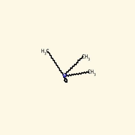 CCCCCCCCCCCCCCCCCCCC[N+](CCCCCCCCCCCCCCCCCCCC)(CCCCCCCCCCCCCCCCCCCC)Cc1ccccc1